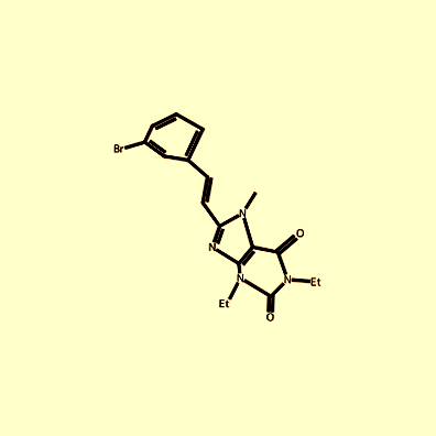 CCn1c(=O)c2c(nc(C=Cc3cccc(Br)c3)n2C)n(CC)c1=O